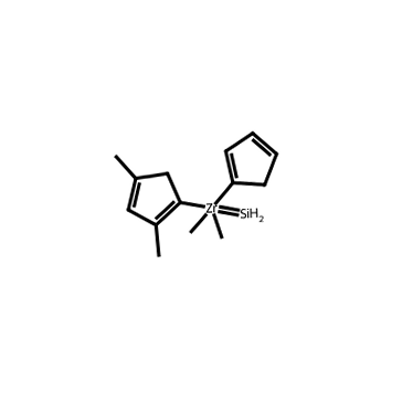 CC1=CC(C)=[C]([Zr]([CH3])([CH3])(=[SiH2])[C]2=CC=CC2)C1